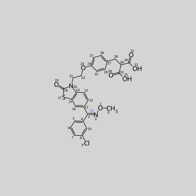 CO/N=C(/c1cccc(Cl)c1)c1ccc2c(c1)sc(=O)n2CCOc1ccc(CC(C(=O)O)C(=O)O)cc1